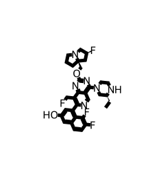 CC[C@@H]1CN(c2nc(OC[C@@]34CCCN3C[C@H](F)C4)nc3c(CF)c(-c4cc(O)cc5ccc(F)c(F)c45)ncc23)CCN1